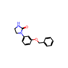 O=C1NCCN1c1cccc(OCc2ccccc2)c1